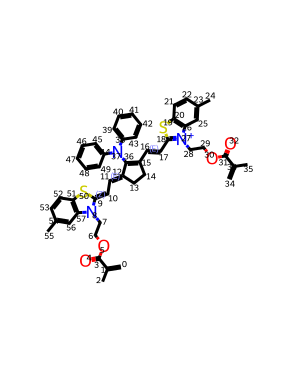 C=C(C)C(=O)OCCN1/C(=C/C=C2\CCC(/C=C/c3sc4ccc(C)cc4[n+]3CCOC(=O)C(=C)C)=C2N(c2ccccc2)c2ccccc2)Sc2ccc(C)cc21